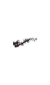 Cc1cnccc1-c1cccc(C(C)N(CCCCC(=O)NCCOCCNC(=O)NCCS(=O)(=O)O)S(=O)(=O)c2cccc(Cl)c2C)c1